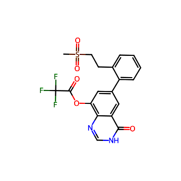 CS(=O)(=O)CCc1ccccc1-c1cc(OC(=O)C(F)(F)F)c2nc[nH]c(=O)c2c1